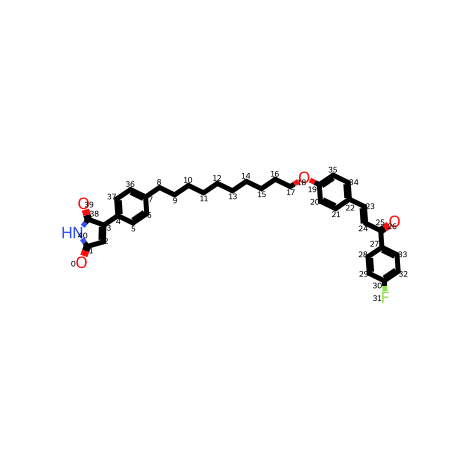 O=C1C=C(c2ccc(CCCCCCCCCCOc3ccc(C=CC(=O)c4ccc(F)cc4)cc3)cc2)C(=O)N1